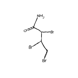 NC(=O)C(Br)C(Br)CBr